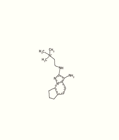 C[N+](C)(C)CCNc1nn2c3c(ccc2c1N)CCC3